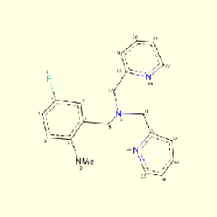 CNc1ccc(F)cc1CN(Cc1ccccn1)Cc1ccccn1